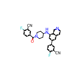 N#Cc1cc(C(=O)N2CCC(Nc3cc(-c4ccc(F)c(C#N)c4)cc4ccncc34)CC2)ccc1F